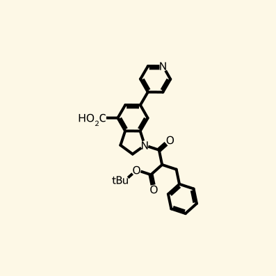 CC(C)(C)OC(=O)C(Cc1ccccc1)C(=O)N1CCc2c(C(=O)O)cc(-c3ccncc3)cc21